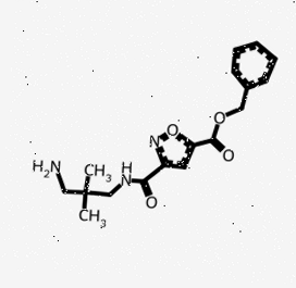 CC(C)(CN)CNC(=O)c1cc(C(=O)OCc2ccccc2)on1